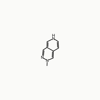 CN1C=C2C=CNC=C2C=N1